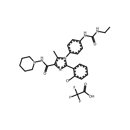 CCNC(=O)Nc1ccc(-n2c(-c3ccccc3Cl)nc(C(=O)NN3CCCCC3)c2C)cc1.O=C(O)C(F)(F)F